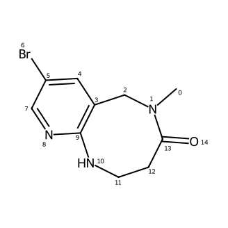 CN1Cc2cc(Br)cnc2NCCC1=O